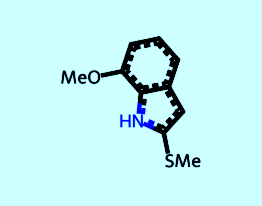 COc1cccc2cc(SC)[nH]c12